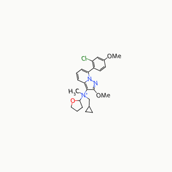 COc1ccc(-c2cccc3c([N+](C)(CC4CC4)C4CCCO4)c(OC)nn23)c(Cl)c1